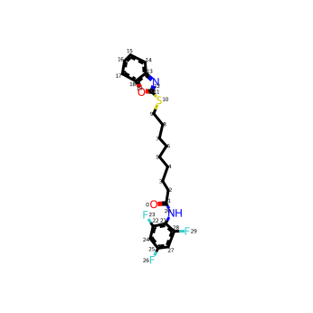 O=C(CCCCCCCCSc1nc2ccccc2o1)Nc1c(F)cc(F)cc1F